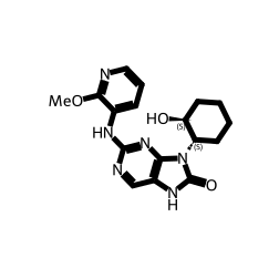 COc1ncccc1Nc1ncc2[nH]c(=O)n([C@H]3CCCC[C@@H]3O)c2n1